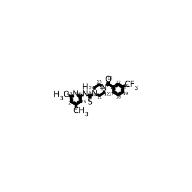 Cc1cc(C)nc(NC(=S)N2CCN(C(=O)c3cccc(C(F)(F)F)c3)CC2)c1